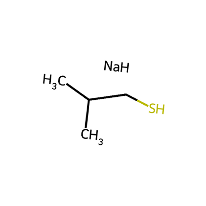 CC(C)CS.[NaH]